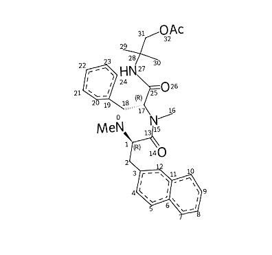 CN[C@H](Cc1ccc2ccccc2c1)C(=O)N(C)[C@H](Cc1ccccc1)C(=O)NC(C)(C)COC(C)=O